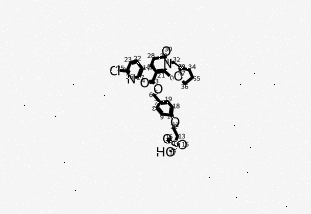 CC1=C(C(=O)OCc2ccc(OCCS(=O)(=O)O)cc2)[C@H](c2ccc(Cl)nc2)CC(=O)N1C[C@H]1CCCO1